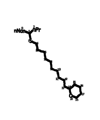 CCCCCCCCCC(CCC)SCCCCCCCCCCC1CCCCO1